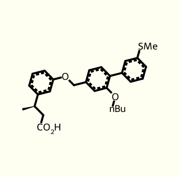 CCCCOc1cc(COc2cccc([C@H](C)CC(=O)O)c2)ccc1-c1cccc(SC)c1